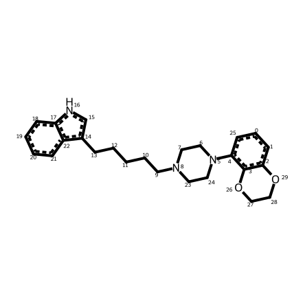 c1cc2c(c(N3CCN(CCCCCc4c[nH]c5ccccc45)CC3)c1)OCCO2